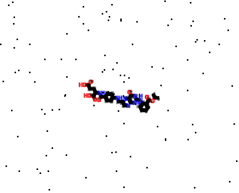 CC(C)OC(=O)c1ccccc1Nc1nc(=O)c2nc(CNc3ccc(C(=O)NC(CCC(=O)O)C(=O)O)cc3)cnc2[nH]1